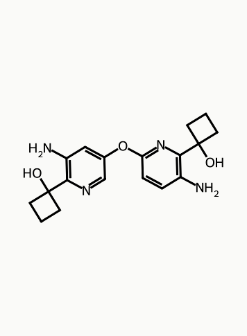 Nc1cc(Oc2ccc(N)c(C3(O)CCC3)n2)cnc1C1(O)CCC1